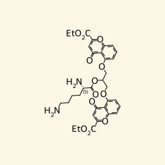 CCOC(=O)c1cc(=O)c2c(OCC(COc3cccc4oc(C(=O)OCC)cc(=O)c34)OC(=O)[C@@H](N)CCCCN)cccc2o1